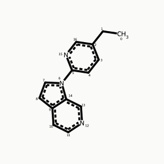 CCc1ccc(-n2ccc3ccncc32)nc1